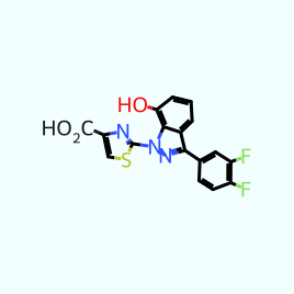 O=C(O)c1csc(-n2nc(-c3ccc(F)c(F)c3)c3cccc(O)c32)n1